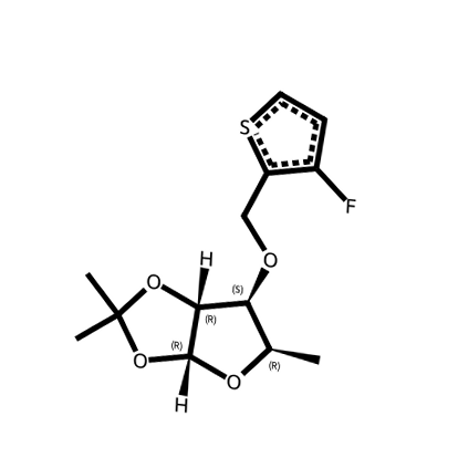 C[C@H]1O[C@@H]2OC(C)(C)O[C@@H]2[C@H]1OCc1sccc1F